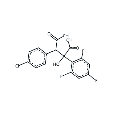 CC(=O)C(c1ccc(Cl)cc1)C(O)(C(=O)O)c1c(F)cc(F)cc1F